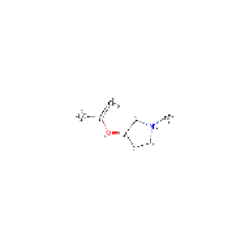 C=C(C)O[C@@H]1CCN(CCC)C1